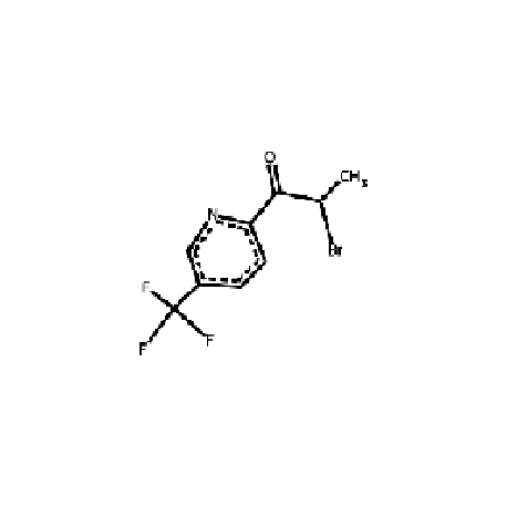 CC(Br)C(=O)c1ccc(C(F)(F)F)cn1